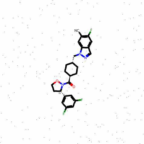 N#Cc1cc2c(cnn2C[C@H]2CC[C@H](C(=O)N3OCC[C@H]3c3cc(F)cc(F)c3)CC2)cc1F